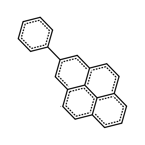 [c]1cc2cccc3ccc4cc(-c5ccccc5)cc1c4c23